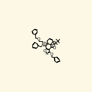 CC(C)(C)[Si](C)(C)OC12C(=O)C=CC[C@H]1[C@H](N(CCOCc1ccccc1)Cc1ccccc1)c1onc(OCc3ccccc3)c1C2=O